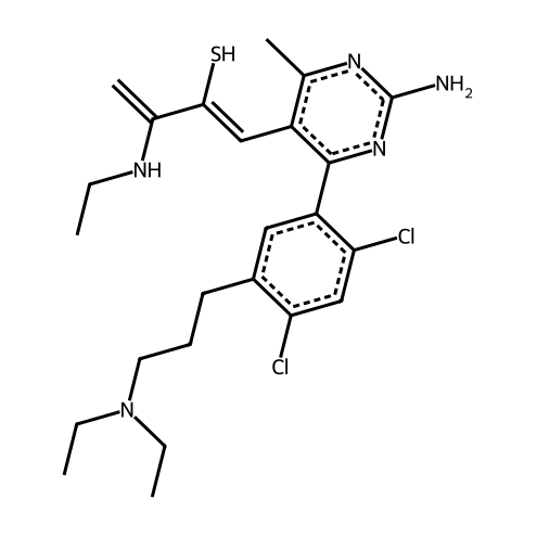 C=C(NCC)/C(S)=C/c1c(C)nc(N)nc1-c1cc(CCCN(CC)CC)c(Cl)cc1Cl